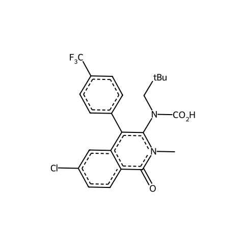 Cn1c(N(CC(C)(C)C)C(=O)O)c(-c2ccc(C(F)(F)F)cc2)c2cc(Cl)ccc2c1=O